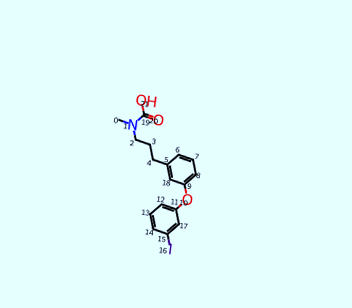 CN(CCCc1cccc(Oc2cccc(I)c2)c1)C(=O)O